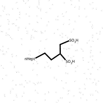 CCCCCCCCCC(CS(=O)(=O)O)S(=O)(=O)O